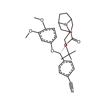 COc1ccc(O[C@H](CCCN2C3CCC2CN(C(=O)OC(C)(C)C)C3)c2ccc(C#N)cc2)cc1OC